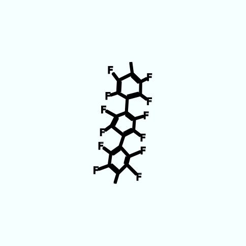 Cc1c(F)c(F)c(-c2c(F)c(F)c(-c3c(F)c(F)c(C)c(F)c3F)c(F)c2F)c(F)c1F